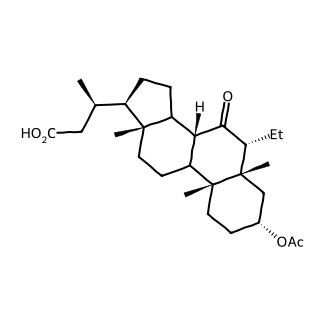 CC[C@H]1C(=O)[C@H]2C3CC[C@H]([C@H](C)CC(=O)O)[C@@]3(C)CCC2[C@@]2(C)CC[C@@H](OC(C)=O)C[C@@]12C